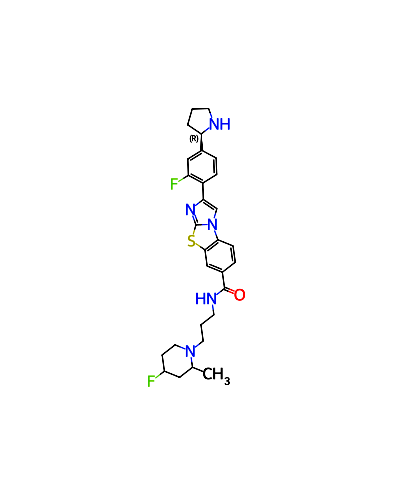 CC1CC(F)CCN1CCCNC(=O)c1ccc2c(c1)sc1nc(-c3ccc([C@H]4CCCN4)cc3F)cn12